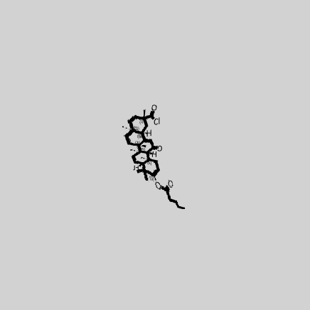 CCCCC(=O)O[C@H]1CC[C@]2(C)[C@H]3C(=O)C=C4[C@@H]5C[C@@](C)(C(=O)Cl)CC[C@]5(C)CC[C@@]4(C)[C@]3(C)CC[C@H]2C1(C)C